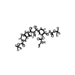 CCNC(=O)Oc1cc(C(=O)C(N)C(=O)c2cc3c(s2)CCN(C(=O)OC(C)(C)C)C3)ccc1OCC(=O)OC(C)(C)C